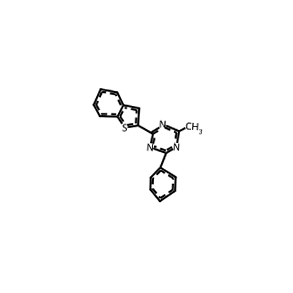 Cc1nc(-c2ccccc2)nc(-c2cc3ccccc3s2)n1